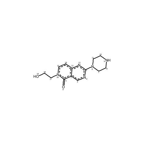 O=c1c2cnc(N3CCNCC3)nc2ccn1CCO